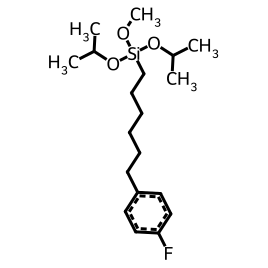 CO[Si](CCCCCCc1ccc(F)cc1)(OC(C)C)OC(C)C